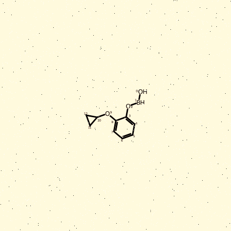 OBOc1ccccc1OC1CC1